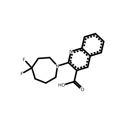 O=C(O)c1cc2ccccc2nc1N1CCCC(F)(F)CC1